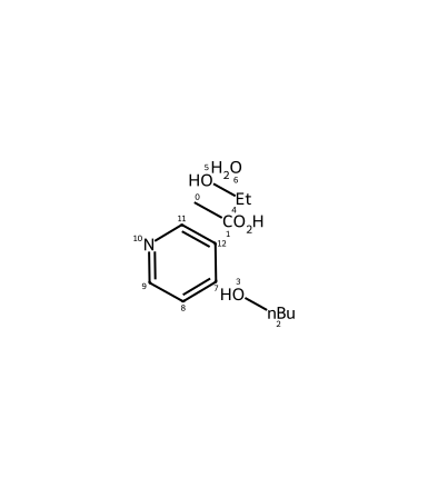 CC(=O)O.CCCCO.CCO.O.c1ccncc1